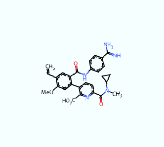 C=Cc1cc(C(=O)Nc2ccc(C(=N)N)cc2)c(-c2ccc(C(=O)N(C)C3CC3)nc2C(=O)O)cc1OC